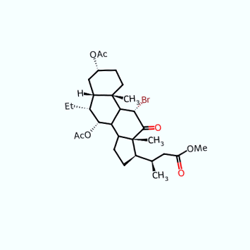 CC[C@H]1[C@@H](OC(C)=O)C2C3CC[C@H]([C@H](C)CC(=O)OC)[C@@]3(C)C(=O)[C@@H](Br)C2[C@@]2(C)CC[C@@H](OC(C)=O)C[C@@H]12